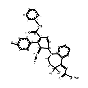 CNC(=O)C=C1c2ccccc2N(C2C=CC(C(=O)Nc3ccccc3)=C(c3ccc(C)cc3)C2=C=O)CCC1(F)F